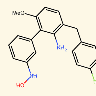 COc1ccc(Cc2ccc(F)cc2)c(N)c1-c1cccc(NO)c1